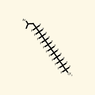 [CH2]C(CC(F)(F)C(F)(F)C(F)(F)C(F)(F)C(F)(F)C(F)(F)C(F)(F)C(F)(F)C(F)(F)C(F)(F)C(F)(F)C(F)(F)F)C(C)=O